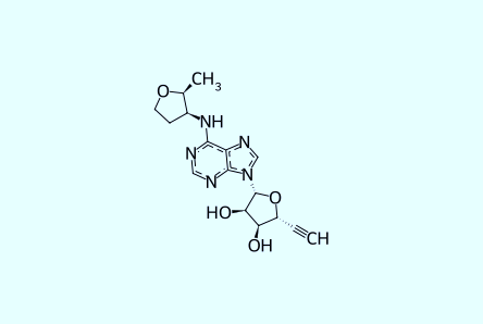 C#C[C@H]1O[C@@H](n2cnc3c(N[C@H]4CCO[C@H]4C)ncnc32)[C@H](O)[C@@H]1O